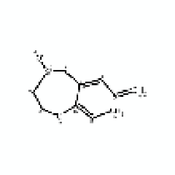 C=C/C=C1/C[S+]([O-])CCO/C1=C/C